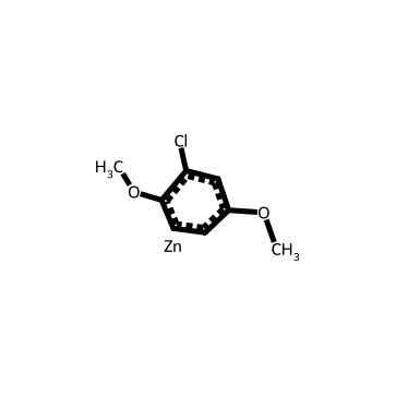 COc1ccc(OC)c(Cl)c1.[Zn]